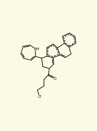 O=C(CCCCl)C1C=c2c(ccc3c2=CCc2ccccc2-3)C(C2=CC=CC=CN2)C1